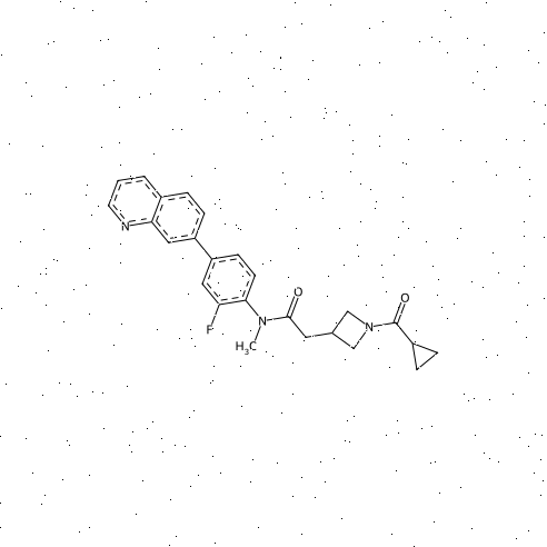 CN(C(=O)CC1CN(C(=O)C2CC2)C1)c1ccc(-c2ccc3cccnc3c2)cc1F